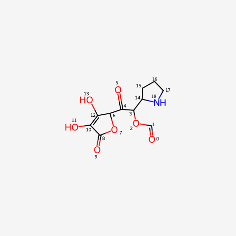 O=COC(C(=O)C1OC(=O)C(O)=C1O)C1CCCN1